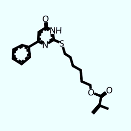 C=C(C)C(=O)OCCCCCCSc1nc(-c2ccccc2)cc(=O)[nH]1